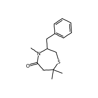 CN1C(=O)[CH]C(C)(C)SCC1Cc1ccccc1